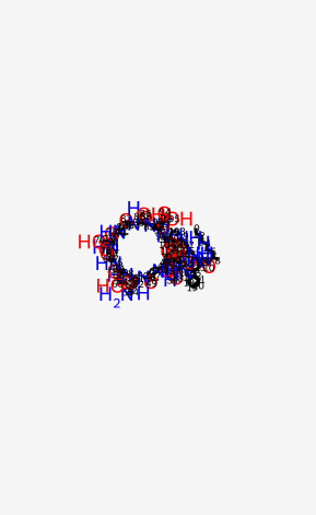 CCCCCCCC(C)C(=O)NC(Cc1c[nH]c2ccccc12)C(=O)NC(CC(N)=O)C(=O)NC(CC(=O)OC)C(=O)NC1C(=O)NCC(=O)NC(CCCN)C(=O)NC(CC(=O)O)C(=O)NC(C)C(=O)NC(CC(=O)O)C(=O)NCC(=O)NC(CO)C(=O)NC(CCC(=O)O)C(=O)NC(C(C)CC)C(=O)OC1C